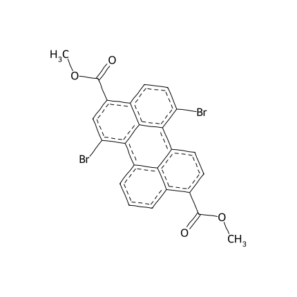 COC(=O)c1ccc2c3c(Br)ccc4c(C(=O)OC)cc(Br)c(c5cccc1c25)c43